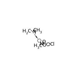 C=CCN(C)CCC#C[C@H]1CC[C@H](N(C)C(=O)Oc2ccc(Cl)cc2)CC1